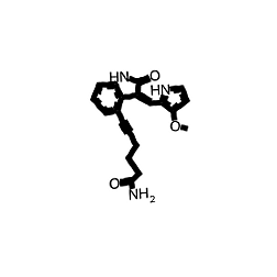 COc1cc[nH]c1C=C1C(=O)Nc2cccc(C#CCCCC(N)=O)c21